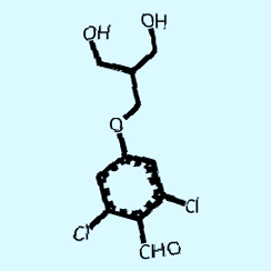 O=Cc1c(Cl)cc(OCC(CO)CO)cc1Cl